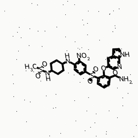 CS(=O)(=O)NC1CCC(Nc2ccc(S(=O)(=O)c3cccc(C(N)=O)c3Oc3cnc4[nH]ccc4c3)cc2[N+](=O)[O-])CC1